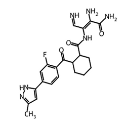 Cc1cc(-c2ccc(C(=O)C3CCCCC3C(=O)N/C(C=N)=C(/N)C(N)=O)c(F)c2)[nH]n1